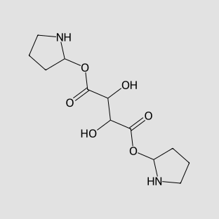 O=C(OC1CCCN1)C(O)C(O)C(=O)OC1CCCN1